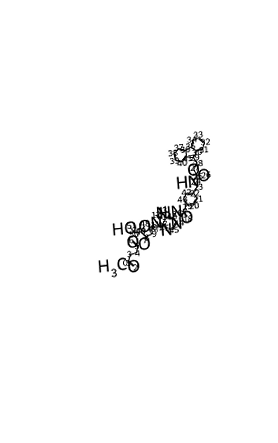 CC(=O)CCC(=O)OC1C[C@H](n2cnc3c(NC(=O)c4ccc(CNC(=O)OCC5c6ccccc6-c6ccccc65)cc4)ncnc32)O[C@@H]1CO